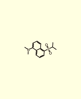 CC(C)S(=O)(=O)c1cccc2c(N(C)C)cccc12